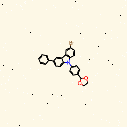 Brc1ccc2c(c1)c1cc(-c3ccccc3)ccc1n2-c1ccc(C2OCCO2)cc1